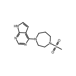 CS(=O)(=O)N1CCCN(c2ncnc3[nH]ccc23)CC1